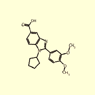 COc1ccc(-c2nc3cc(C(=O)O)ccc3n2C2CCCC2)cc1OC